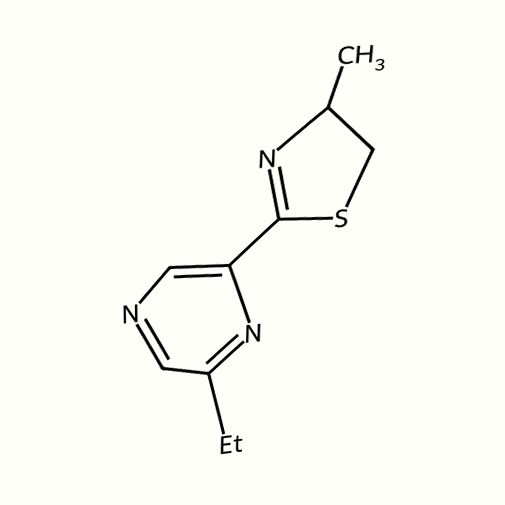 CCc1cncc(C2=NC(C)CS2)n1